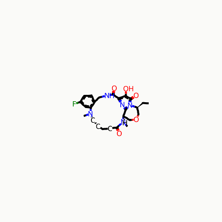 CC[C@H]1COC[C@@H]2c3nc(c(O)c(=O)n31)C(=O)NCc1ccc(F)cc1N(C)CCCCC(=O)N2C